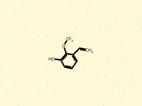 C=Cc1cccc(O)c1OC(F)(F)F